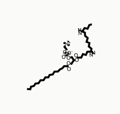 CCCCCCCCCCCCCCCCCC(=O)OCC(COP(=O)([O-])OCC[N+](C)(C)C)OC(=O)CCCCC1(CCCCCCCC2(CCCC)N=N2)N=N1